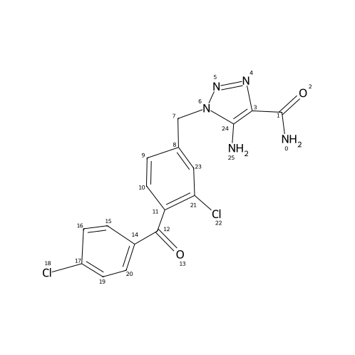 NC(=O)c1nnn(Cc2ccc(C(=O)c3ccc(Cl)cc3)c(Cl)c2)c1N